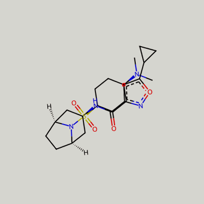 CN(C)[C@H]1CC[C@@H](S(=O)(=O)N2[C@@H]3CC[C@H]2C[C@@H](NC(=O)c2cc(C4CC4)on2)C3)CC1